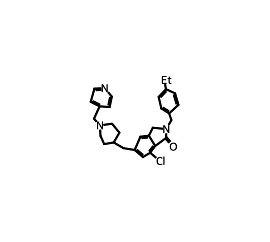 CCc1ccc(CN2Cc3cc(CC4CCN(Cc5ccncc5)CC4)cc(Cl)c3C2=O)cc1